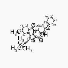 CC(C)(C)C#Cc1cc(N(C(=O)[C@H]2CC[C@H](C)CC2)[C@H]2CC[C@H](OC3CCCCC3)CC2)c(C(=O)O)s1